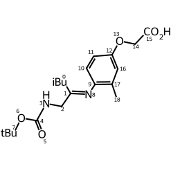 CCC(C)/C(CNC(=O)OC(C)(C)C)=N\c1ccc(OCC(=O)O)cc1C